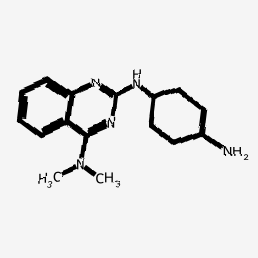 CN(C)c1nc(NC2CCC(N)CC2)nc2ccccc12